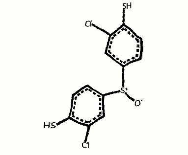 [O-][S+](c1ccc(S)c(Cl)c1)c1ccc(S)c(Cl)c1